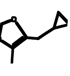 CC1=C(CC2CC2)OCO1